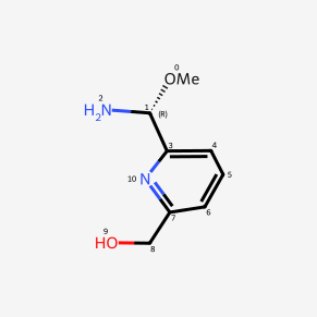 CO[C@@H](N)c1cccc(CO)n1